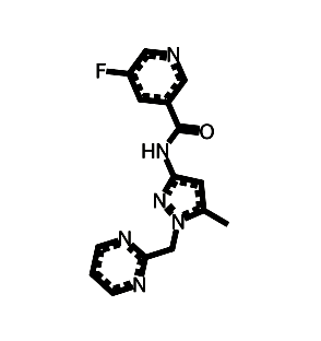 Cc1cc(NC(=O)c2cncc(F)c2)nn1Cc1ncccn1